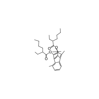 CCCCC(CC)C(=O)Oc1c(C)c2c(C(C)(C)C)c(c1OC(=O)C(CC)CCCC)-c1c(C)cccc1-2